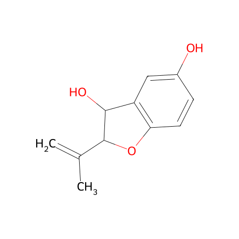 C=C(C)C1Oc2ccc(O)cc2C1O